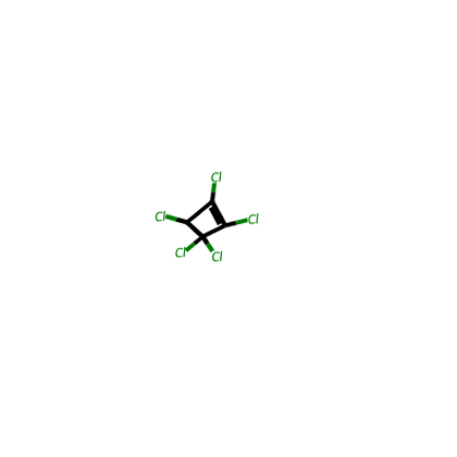 ClC1=C(Cl)C(Cl)(Cl)C1Cl